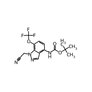 CC(C)(C)OC(=O)Nc1ccc(OC(F)(F)F)c2c1cnn2CC#N